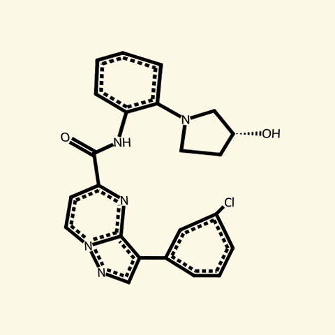 O=C(Nc1ccccc1N1CC[C@@H](O)C1)c1ccn2ncc(-c3cccc(Cl)c3)c2n1